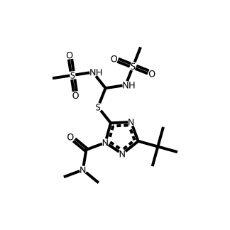 CN(C)C(=O)n1nc(C(C)(C)C)nc1SC(NS(C)(=O)=O)NS(C)(=O)=O